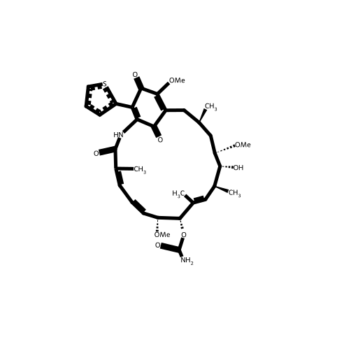 COC1=C2C[C@@H](C)C[C@H](OC)[C@H](O)[C@@H](C)/C=C(\C)[C@H](OC(N)=O)[C@H](OC)/C=C\C=C(/C)C(=O)NC(=C(c3cccs3)C1=O)C2=O